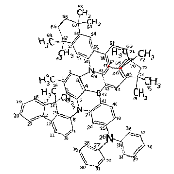 Cc1cc2c3c(c1)N(c1cccc4c1C(C)(C)c1ccccc1-4)c1cc(N(c4ccccc4)c4ccccc4)ccc1B3c1cc3c(cc1N2c1cc2c(cc1-c1ccccc1)C(C)(C)CCC2(C)C)C(C)(C)CC3(C)C